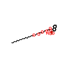 CCCCCCCCCCCCCCCCOCCOCCOCCOCCOc1c(S(=O)(=O)O)ccc2ccccc12